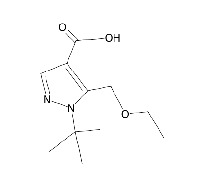 CCOCc1c(C(=O)O)cnn1C(C)(C)C